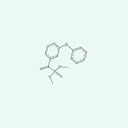 COP(=O)(OC)C(=O)c1cccc(Oc2ccccc2)c1